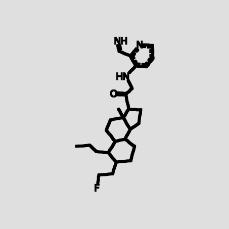 CCCC1C(CCF)CCC2C1CCC1(C)C(C(=O)CNc3cccnc3C=N)CCC21